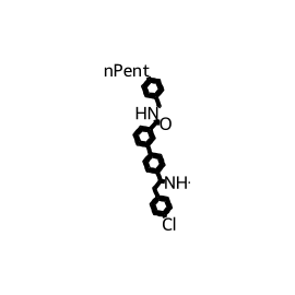 CCCCCc1ccc(CNC(=O)c2cccc(-c3ccc(C([NH])Cc4ccc(Cl)cc4)cc3)c2)cc1